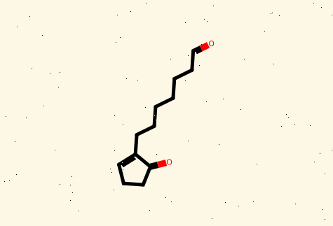 O=CCCCCCCC1=CCCC1=O